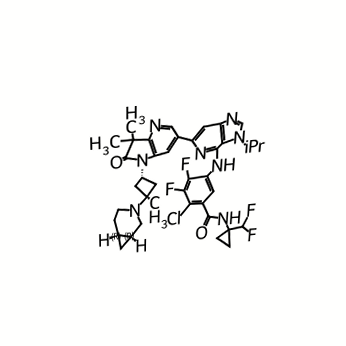 CC(C)n1cnc2cc(-c3cnc4c(c3)N([C@H]3C[C@@](C)(N5CC[C@H]6C[C@H]6C5)C3)C(=O)C4(C)C)nc(Nc3cc(C(=O)NC4(C(F)F)CC4)c(Cl)c(F)c3F)c21